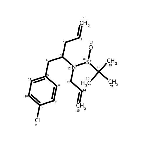 C=CCC(Cc1ccc(Cl)cc1)N(CC=C)[S+]([O-])C(C)(C)C